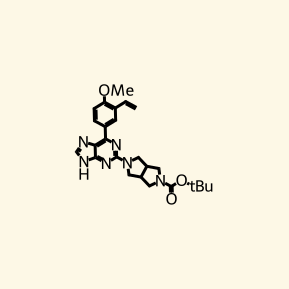 C=Cc1cc(-c2nc(N3CC4CN(C(=O)OC(C)(C)C)CC4C3)nc3[nH]cnc23)ccc1OC